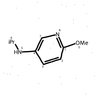 COc1ccc(NC(C)C)cn1